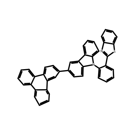 c1ccc(-n2c3ccccc3c3cc(-c4ccc5c6ccccc6c6ccccc6c5c4)ccc32)c(-c2nc3ccccc3s2)c1